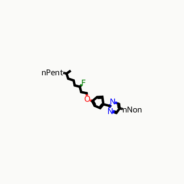 CCCCCCCCCc1cnc(-c2ccc(OCCC(F)CCCC(C)CCCCC)cc2)nc1